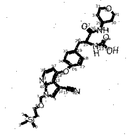 C[Si](C)(C)CCOCn1cc(C#N)c2c(Oc3ccc(CC(NC(=O)O)C(=O)NC4CCOCC4)cc3)ccnc21